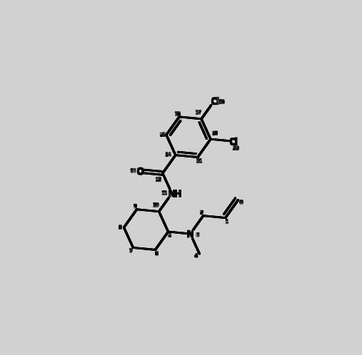 C=CCN(C)C1CCCCC1NC(=O)c1ccc(Cl)c(Cl)c1